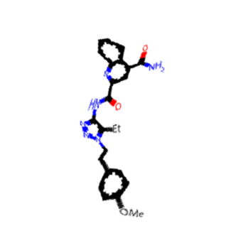 CCc1c(NC(=O)c2cc(C(N)=O)c3ccccc3n2)nnn1CCc1ccc(OC)cc1